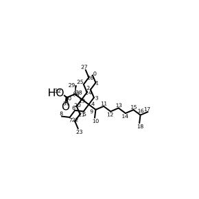 CCCCC(CCCC)(C(C)CCCCCC(C)C)C(CCCC)(CCCC)[C@H](C)C(=O)O